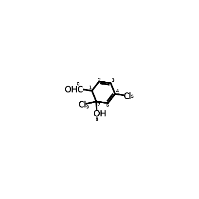 O=CC1C=CC(Cl)=CC1(O)Cl